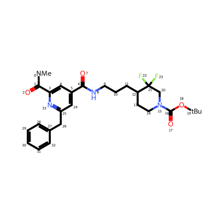 CNC(=O)c1cc(C(=O)NCCCC2CCN(C(=O)OC(C)(C)C)CC2(F)F)cc(Cc2ccccc2)n1